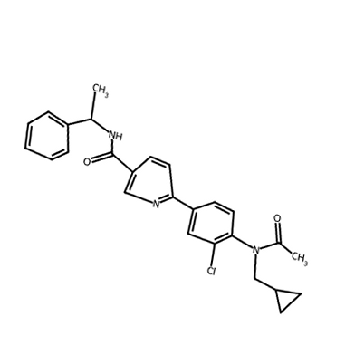 CC(=O)N(CC1CC1)c1ccc(-c2ccc(C(=O)NC(C)c3ccccc3)cn2)cc1Cl